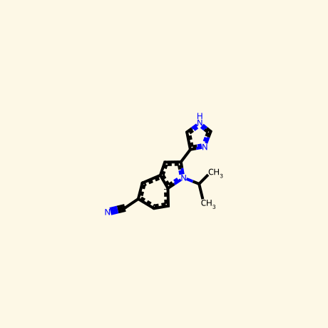 CC(C)n1c(-c2c[nH]cn2)cc2cc(C#N)ccc21